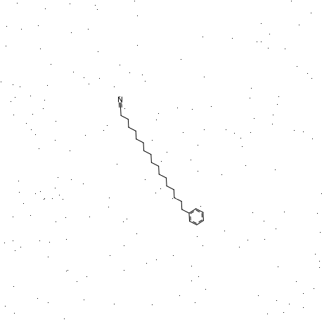 N#CCCCCCCCCCCCCCCCCCc1ccccc1